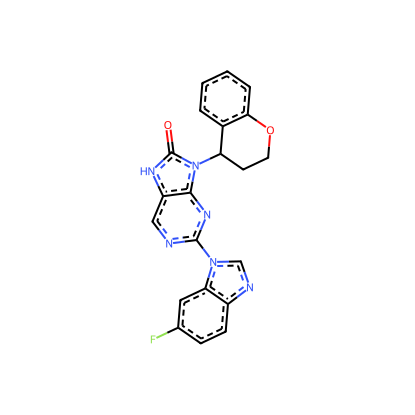 O=c1[nH]c2cnc(-n3cnc4ccc(F)cc43)nc2n1C1CCOc2ccccc21